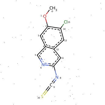 COc1cc2cnc(N=C=S)cc2cc1Cl